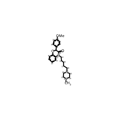 COc1ccc(C2Oc3ccccc3N(CCCCCN3CCN(C)CC3)C2=O)cc1